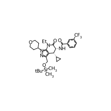 CCN1C(=O)[C@H](NC(=O)c2cccc(C(F)(F)F)c2)[C@H](C2CC2)c2c(CO[Si](C)(C)C(C)(C)C)nn(C3CCOCC3)c21